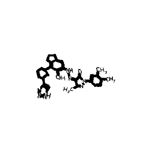 CC1=NN(c2ccc(C)c(C)c2)C(=O)/C1=N\Nc1cc2c(c(-c3cccc(-c4c[nH]nn4)c3)c1O)CCC2